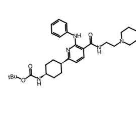 CC(C)(C)OC(=O)N[C@H]1CC[C@@H](c2ccc(C(=O)NCCN3CCCCC3)c(Nc3ccccc3)n2)CC1